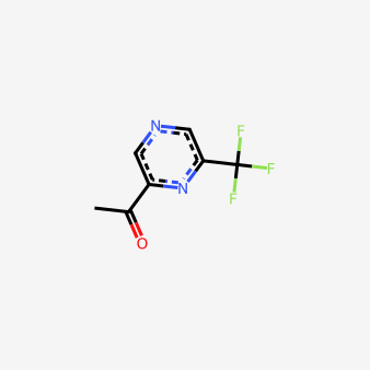 CC(=O)c1cncc(C(F)(F)F)n1